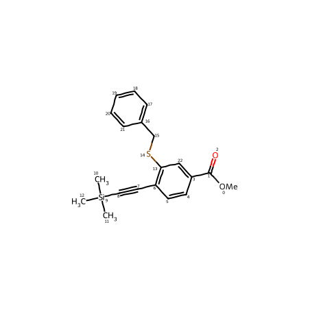 COC(=O)c1ccc(C#C[Si](C)(C)C)c(SCc2ccccc2)c1